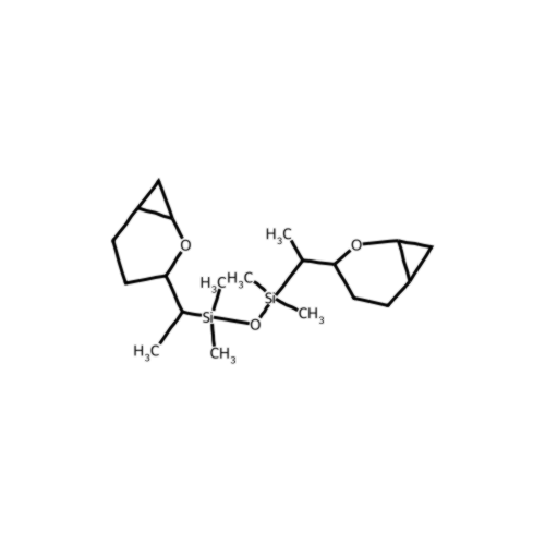 CC(C1CCC2CC2O1)[Si](C)(C)O[Si](C)(C)C(C)C1CCC2CC2O1